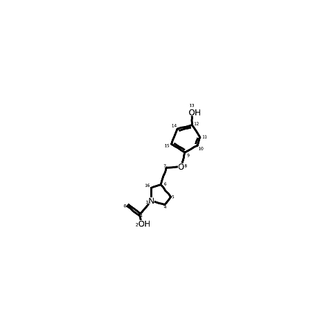 C=C(O)N1CCC(COc2ccc(O)cc2)C1